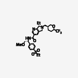 CC[C@H]1c2ncc(C(=O)N[C@@H](COC)c3ccc(S(=O)(=O)CC)cc3)cc2CN1C[C@@H]1CC[C@H](C(F)(F)F)OC1